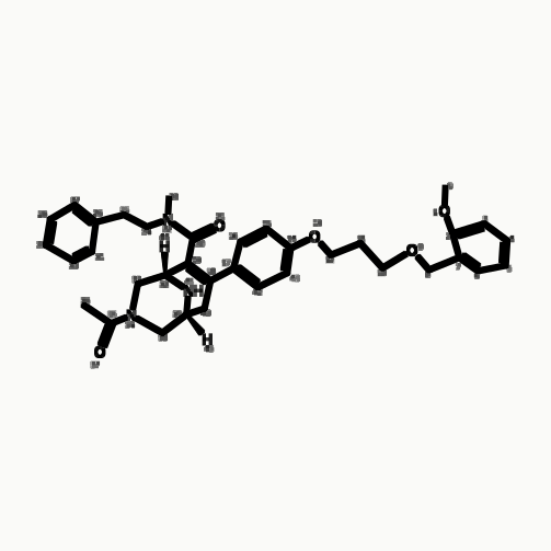 COc1ccccc1COCCCOc1ccc(C2=C(C(=O)N(C)CCc3ccccc3)[C@H]3CN(C(C)=O)C[C@@H](C2)N3)cc1